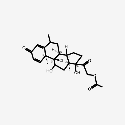 CC(=O)OCC(=O)[C@@]1(O)CC[C@H]2[C@@H]3CC(C)C4=CC(=O)C=C[C@]4(C)[C@@]3(Cl)C(O)C[C@@]21C